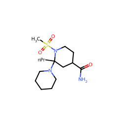 CCCC1(N2CCCCC2)CC(C(N)=O)CCN1S(C)(=O)=O